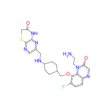 NCCn1c(=O)cnc2ccc(F)c(OCC3CCC(NCc4cnc5c(n4)NC(=O)CS5)CC3)c21